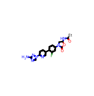 CCC(=O)NC1CN(c2ccc(-c3ccc(-n4cnc(N)n4)nc3)c(F)c2)C(=O)O1